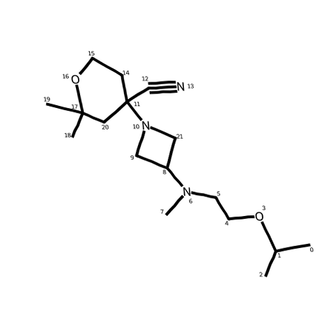 CC(C)OCCN(C)C1CN(C2(C#N)CCOC(C)(C)C2)C1